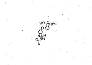 CC(C)(C)N(C(=O)O)c1cccc(Oc2ccc3nc(NC(=O)C4CC4)[nH]c3c2)c1